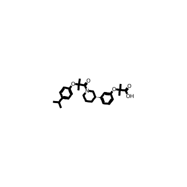 CC(C)c1ccc(OC(C)(C)C(=O)N2CCC[C@@H](c3cccc(OC(C)(C)C(=O)O)c3)C2)cc1